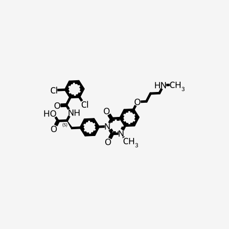 CNCCCOc1ccc2c(c1)c(=O)n(-c1ccc(C[C@H](NC(=O)c3c(Cl)cccc3Cl)C(=O)O)cc1)c(=O)n2C